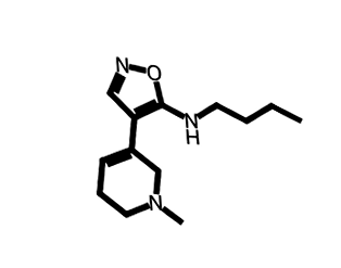 CCCCNc1oncc1C1=CCCN(C)C1